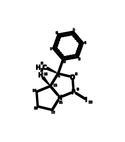 C[C@]1(c2ccccc2)OP(I)N2CCC[C@H]21